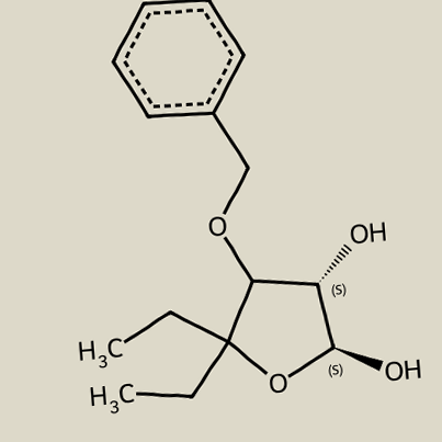 CCC1(CC)O[C@H](O)[C@@H](O)C1OCc1ccccc1